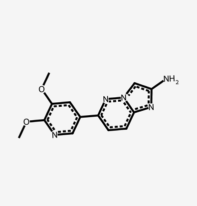 COc1cc(-c2ccc3nc(N)cn3n2)cnc1OC